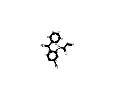 C=CC(=O)Oc1cc(Br)ccc1C(=O)c1ccccc1